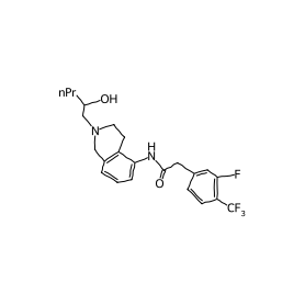 CCCC(O)CN1CCc2c(cccc2NC(=O)Cc2ccc(C(F)(F)F)c(F)c2)C1